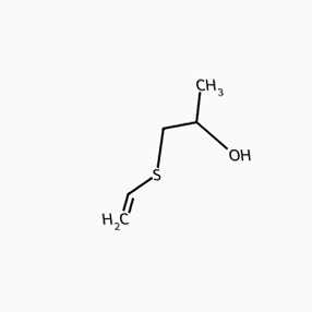 C=CSCC(C)O